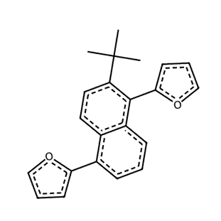 CC(C)(C)c1ccc2c(-c3ccco3)cccc2c1-c1ccco1